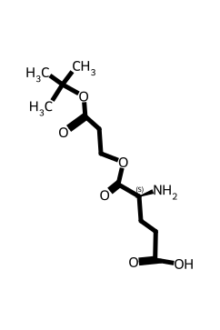 CC(C)(C)OC(=O)CCOC(=O)[C@@H](N)CCC(=O)O